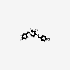 O=c1c(Br)c(OCc2ccc(Cl)cc2)ccn1Cc1ccc(F)cc1